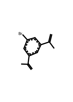 C=C(C)c1cc(Br)cc(C(=C)C)c1